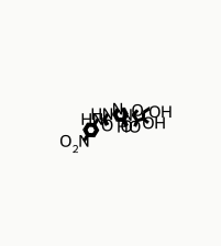 O=C(Nc1ccc([N+](=O)[O-])cc1)Nc1cc(=O)n(C2OC(CO)C(O)C2O)cn1